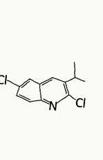 CC(C)c1cc2cc(Cl)ccc2nc1Cl